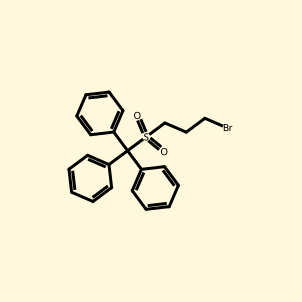 O=S(=O)(CCCBr)C(c1ccccc1)(c1ccccc1)c1ccccc1